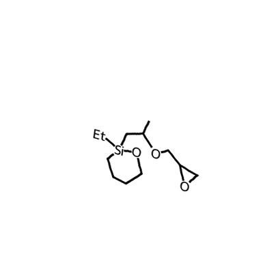 CC[Si]1(CC(C)OCC2CO2)CCCCO1